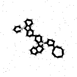 c1ccccc(-c2cccc(-n3c4ccc(-c5ccc6c(c5)-c5ccccc5C6[n+]5ccccc5)cc4c4c5ccccc5ccc43)c2)cccc1